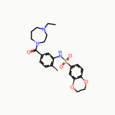 CCN1CCCN(C(=O)c2ccc(C)c(NS(=O)(=O)c3ccc4c(c3)OCCO4)c2)CC1